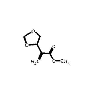 C=C(C(=O)OC)C1COCO1